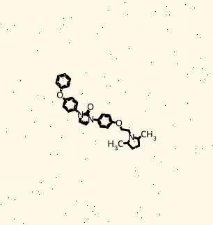 CC1CCC(C)N1CCOc1ccc(-n2ccn(-c3ccc(Oc4ccccc4)cc3)c2=O)cc1